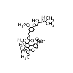 CCOC(=O)C1=C(C(F)(F)F)NC(C)=C(C(=O)OCCc2ccc(OCC(O)CNC(C)C)c(OC)c2)C1c1cccc([N+](=O)[O-])c1